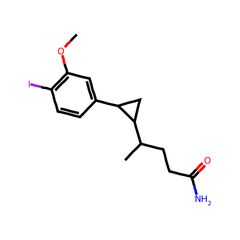 COc1cc(C2CC2C(C)CCC(N)=O)ccc1I